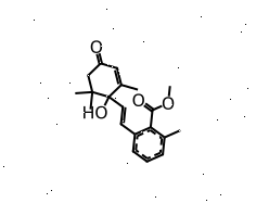 COC(=O)c1c(C)cccc1C=CC1(O)C(C)=CC(=O)CC1(C)C